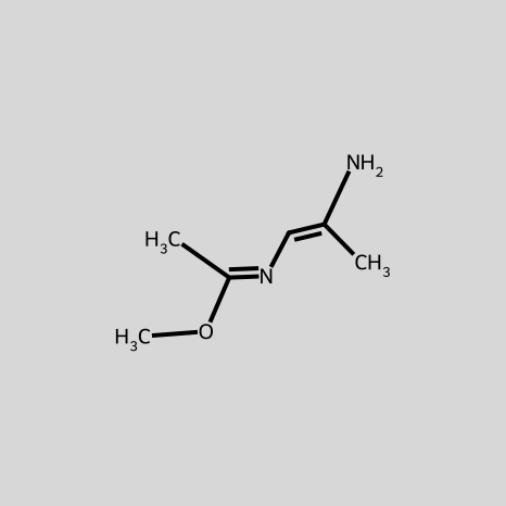 CO/C(C)=N/C=C(\C)N